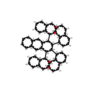 c1ccc2cc3c(-c4cccc5ccccc45)c(-c4cccc5ccccc45)c(-c4cccc5ccccc45)c(-c4cccc5ccccc45)c3cc2c1